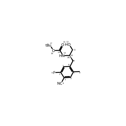 Cc1cc(C#N)c(F)cc1C[C@H](CO)NC(=O)OC(C)(C)C